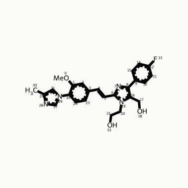 COc1cc(C=Cc2nc(-c3ccc(F)cc3)c(CO)n2CCO)ccc1-n1cnc(C)c1